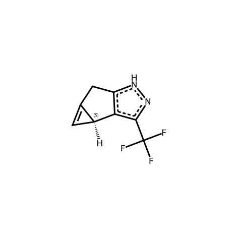 FC(F)(F)c1n[nH]c2c1[C@H]1C=C1C2